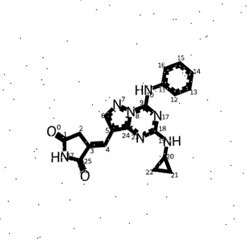 O=C1C/C(=C\c2cnn3c(Nc4ccccc4)nc(NC4CC4)nc23)C(=O)N1